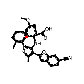 COc1ccc(Nc2c(-c3cc4ccc(C#N)cc4o3)c(C)nn2-c2ccccc2C)c(C(=O)O)c1